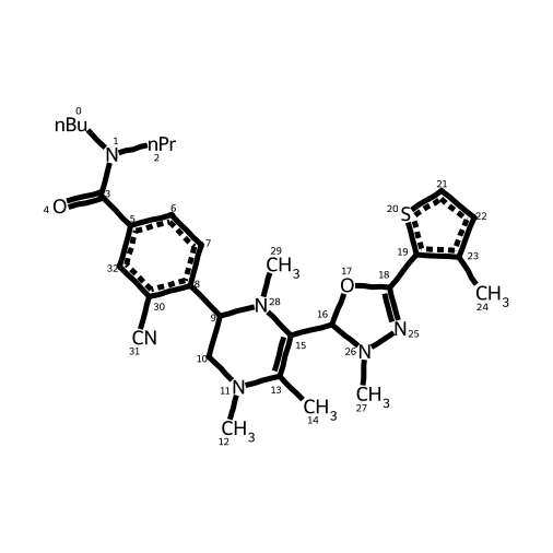 CCCCN(CCC)C(=O)c1ccc(C2CN(C)C(C)=C(C3OC(c4sccc4C)=NN3C)N2C)c(C#N)c1